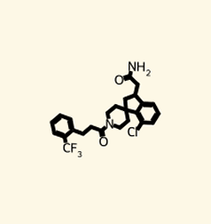 NC(=O)CC1CC2(CCN(C(=O)CCc3ccccc3C(F)(F)F)CC2)c2c(Cl)cccc21